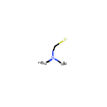 CCCCN(C[S])CCCC